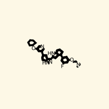 CN(C)CCOc1cc(F)cc(-c2cccc3[nH]c(-c4n[nH]c5ccc(-c6cncc(OC7CCCCC7)c6)cc45)cc23)c1